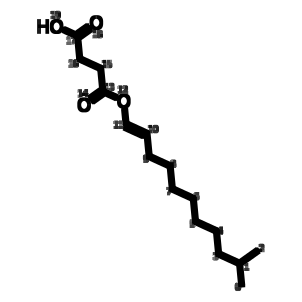 CC(C)CCCCCCCC=COC(=O)CCC(=O)O